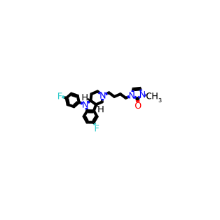 Cn1ccn(CCCCN2CC[C@@H]3[C@@H](C2)c2cc(F)ccc2N3c2ccc(F)cc2)c1=O